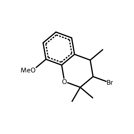 COc1cccc2c1OC(C)(C)C(Br)C2C